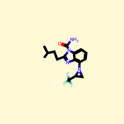 CC(C)CCc1nc2c(N3CC3C(F)(F)F)cccc2n1C(N)=O